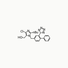 CCCCc1nc(Cl)c(CO)n1Cc1ccc(-c2ccccc2)c(C2N=NN=N2)c1